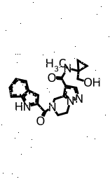 CN(C(=O)c1cnn2c1CN(C(=O)c1cc3ccccc3[nH]1)CC2)C1(CO)CC1